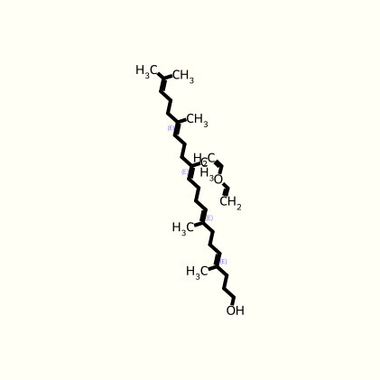 C=COC=C.CC(C)=CCC/C(C)=C/CC/C(C)=C/CC/C=C(\C)CC/C=C(\C)CCCO